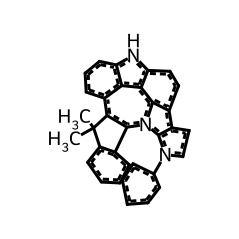 CC1(C)c2ccccc2-c2c1c1cccc3[nH]c4ccc5c6ccn(-c7ccccc7)c6n2c5c4c31